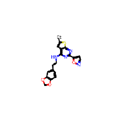 CCc1cc2c(NCCc3ccc4c(c3)OCO4)nc(-c3ccno3)nc2s1